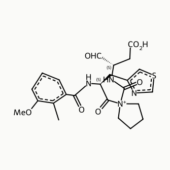 COc1cccc(C(=O)N[C@@H](Cc2cscn2)C(=O)[N+]2(C(=O)N[C@H](C=O)CC(=O)O)CCCC2)c1C